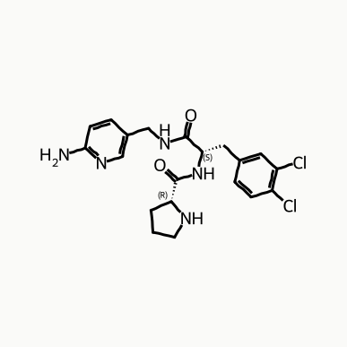 Nc1ccc(CNC(=O)[C@H](Cc2ccc(Cl)c(Cl)c2)NC(=O)[C@H]2CCCN2)cn1